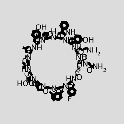 CCCC[C@H]1C(=O)N2CCC[C@@H]2C(=O)N[C@@H](CC(=O)O)C(=O)N[C@@H](C(C)C)C(=O)N(C)[C@@H](CC(C)C)C(=O)N[C@@H](Cc2ccc(O)cc2)C(=O)NC2(CCCCN2)C(=O)N[C@@H](Cc2c[nH]c3ccccc23)C(=O)N[C@@H](Cc2ccc(O)cc2)C(=O)N[C@@H](CCCN)C(=O)N[C@H](C(=O)NCC(N)=O)CSCC(=O)N[C@@H](Cc2ccc(F)cc2)C(=O)N(C)[C@@H](Cc2ccccc2)C(=O)N1C